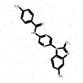 Cc1ccc2c(c1)nc(C(F)(F)F)n2-c1cnc(NC(=O)c2ccc([N+](=O)[O-])cc2)cn1